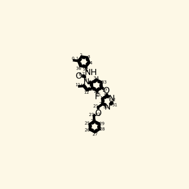 Cc1cccc(NC(=O)n2c(C)cc3c(F)c(Oc4cc(COCc5ccccc5)ncn4)ccc32)c1